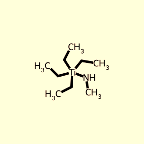 C[CH2][Ti]([CH2]C)([CH2]C)([CH2]C)[NH]C